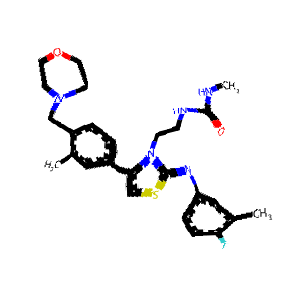 CNC(=O)NCCn1c(-c2ccc(CN3CCOCC3)c(C)c2)cs/c1=N\c1ccc(F)c(C)c1